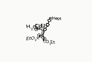 C=C(C)C(=O)OCCCc1cc(-c2ccc(C3CCC(CCCCCCC)CC3)cc2CC)ccc1OCC(COC(=O)CC(=O)OCC)COC(=O)CC(=O)OCC